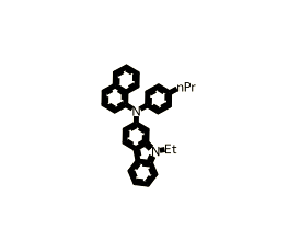 CCCc1ccc(N(c2ccc3c4ccccc4n(CC)c3c2)c2cccc3ccccc23)cc1